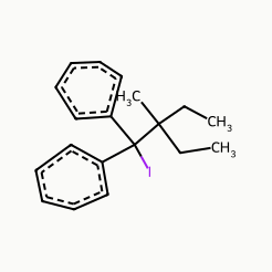 CCC(C)(CC)C(I)(c1ccccc1)c1ccccc1